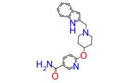 NC(=O)c1ccc(OC2CCN(Cc3cc4ccccc4[nH]3)CC2)nc1